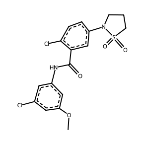 COc1cc(Cl)cc(NC(=O)c2cc(N3CCCS3(=O)=O)ccc2Cl)c1